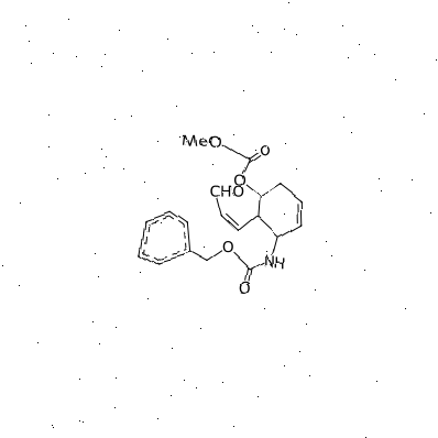 COC(=O)OC1CC=CC(NC(=O)OCc2ccccc2)C1C=CC=O